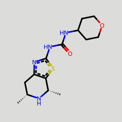 C[C@@H]1Cc2nc(NC(=O)NC3CCOCC3)sc2[C@H](C)N1